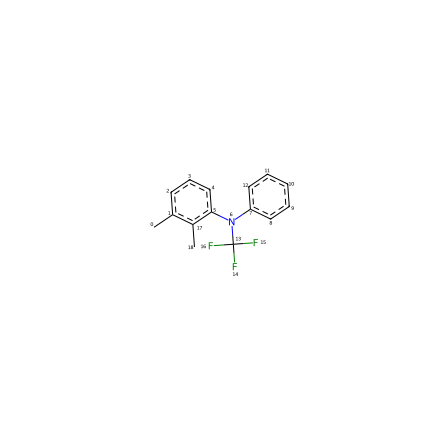 Cc1cccc(N(c2ccccc2)C(F)(F)F)c1C